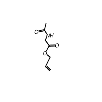 C=CCOC(=O)CNC(C)=O